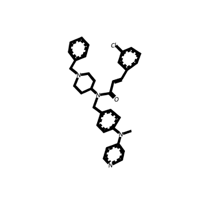 CN(c1ccncc1)c1ccc(CN(C(=O)C=Cc2cccc(Cl)c2)C2CCN(Cc3ccccc3)CC2)cc1